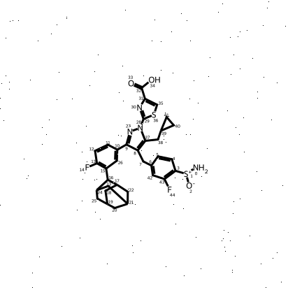 N[S+]([O-])c1ccc(Cc2c(-c3ccc(F)c(C4C5CC6CC(C5)CC4C6)c3)nn(-c3nc(C(=O)O)cs3)c2CC2CC2)cc1F